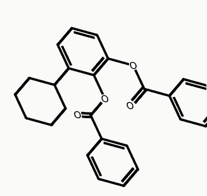 O=C(Oc1cccc(C2CCCCC2)c1OC(=O)c1ccccc1)c1ccccc1